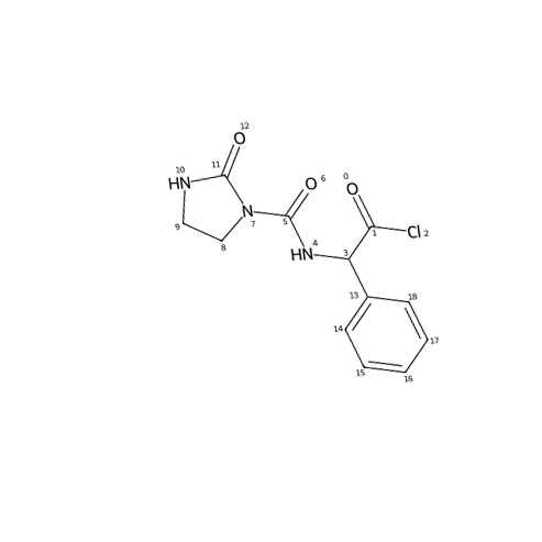 O=C(Cl)C(NC(=O)N1CCNC1=O)c1ccccc1